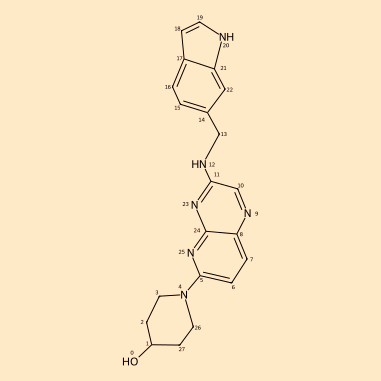 OC1CCN(c2ccc3ncc(NCc4ccc5cc[nH]c5c4)nc3n2)CC1